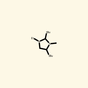 CCN1CC(C(C)(C)C)N(C)C1C(C)(C)C